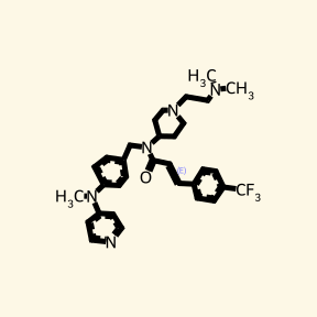 CN(C)CCN1CCC(N(Cc2ccc(N(C)c3ccncc3)cc2)C(=O)/C=C/c2ccc(C(F)(F)F)cc2)CC1